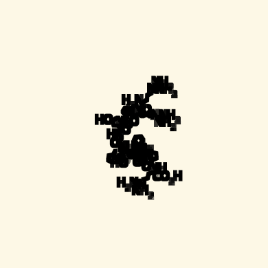 CCCC[C@H]1CCC(C(=O)N[C@@H](CCCN=C(N)N)C(=O)O)N1C(=O)C1Cc2ccccc2CN1C(=O)[C@H](CO)NC(=O)[C@H](Cc1cccs1)NC(=O)CNC(=O)C1C[C@@H](O)CN1C(=O)C1CCCN1C(=O)C(CCCN=C(N)N)NC(=O)[C@H](N)CCCN=C(N)N